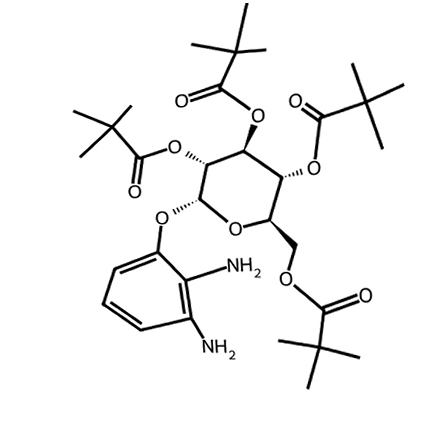 CC(C)(C)C(=O)OC[C@H]1O[C@H](Oc2cccc(N)c2N)[C@H](OC(=O)C(C)(C)C)[C@@H](OC(=O)C(C)(C)C)[C@@H]1OC(=O)C(C)(C)C